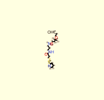 CN(CCCNC(=O)CCSSc1ccccn1)OCCC(C)(C)OCCC=O